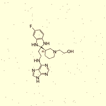 OCCN1CCC[C@@H](C2(CCNc3ncnc4[nH]cnc34)Nc3ccc(F)cc3N2)C1